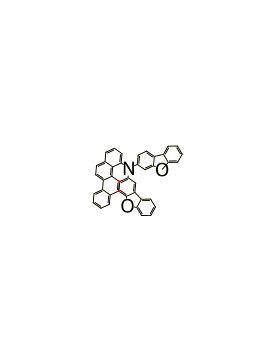 c1ccc2c(c1)ccc1c2ccc2cccc(N(c3ccc4c(c3)oc3ccccc34)c3ccc4oc5ccccc5c4c3)c21